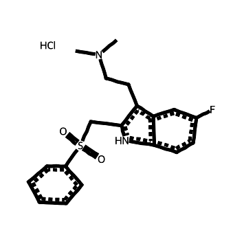 CN(C)CCc1c(CS(=O)(=O)c2ccccc2)[nH]c2ccc(F)cc12.Cl